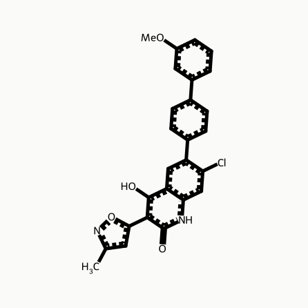 COc1cccc(-c2ccc(-c3cc4c(O)c(-c5cc(C)no5)c(=O)[nH]c4cc3Cl)cc2)c1